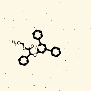 CCOC(=O)C(Oc1cc(-c2ccccc2)cc(-c2ccccc2)n1)c1ccccc1